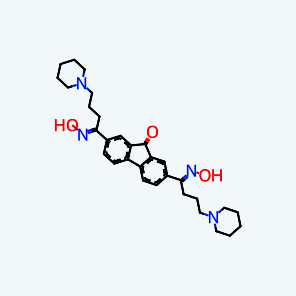 O=C1c2cc(C(CCCN3CCCCC3)=NO)ccc2-c2ccc(C(CCCN3CCCCC3)=NO)cc21